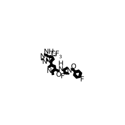 Cc1ncc(-c2cc(C(F)(F)F)c3c(N)ncnn23)cc1C(=O)NC1CN(C(=O)c2ccc(F)cc2)C[C@@H]1F